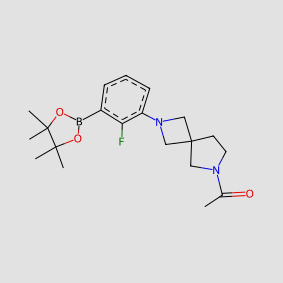 CC(=O)N1CCC2(C1)CN(c1cccc(B3OC(C)(C)C(C)(C)O3)c1F)C2